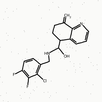 C=C1CCC(C(O)NCc2ccc(F)c(F)c2Cl)c2cccnc21